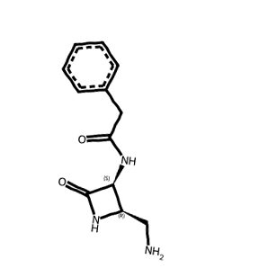 NC[C@H]1NC(=O)[C@H]1NC(=O)Cc1ccccc1